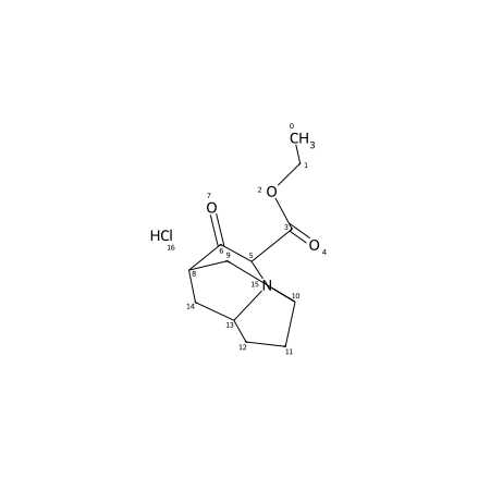 CCOC(=O)C1C(=O)C2CC3CCC(C2)N31.Cl